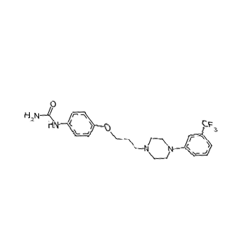 NC(=O)Nc1ccc(OCCCN2CCN(c3cccc(C(F)(F)F)c3)CC2)cc1